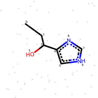 CCC(O)c1c[nH]cn1